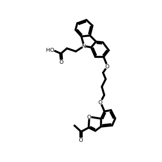 CC(=O)c1cc2cccc(OCCCCOc3ccc4c5ccccc5n(CCC(=O)O)c4c3)c2o1